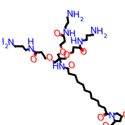 CC(C)OCC1C[C@@H](O)CN1C(=O)CCCCCCCCCCC(=O)NC(COCCC(=O)NCCCN)(COCCC(=O)NCCCN)COCCC(=O)NCCCN